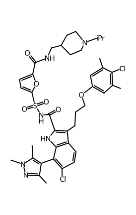 Cc1cc(OCCCc2c(C(=O)NS(=O)(=O)c3ccc(C(=O)NCC4CCN(C(C)C)CC4)o3)[nH]c3c(-c4c(C)nn(C)c4C)c(Cl)ccc23)cc(C)c1Cl